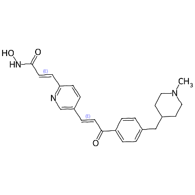 CN1CCC(Cc2ccc(C(=O)/C=C/c3ccc(/C=C/C(=O)NO)nc3)cc2)CC1